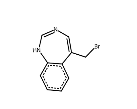 BrCC1=CN=CNc2ccccc21